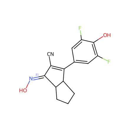 N#CC1=C(c2cc(F)c(O)c(F)c2)C2CCCC2/C1=N\O